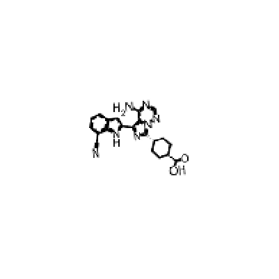 N#Cc1cccc2cc(-c3nc([C@H]4CC[C@H](C(=O)O)CC4)n4ncnc(N)c34)[nH]c12